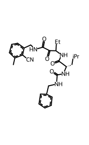 CCC(NC(=O)[C@H](CC(C)C)NC(=O)NCc1ccccc1)C(=O)C(=O)NCc1cccc(C)c1C#N